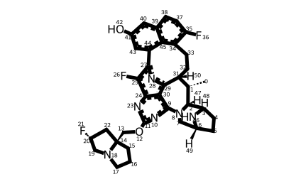 C[C@@H]1[C@H]2[C@@H]3CC[C@H](CN2c2nc(OC[C@@]45CCCN4C[C@H](F)C5)nc4c(F)c5nc(c24)[C@@H]1CCc1c(F)ccc2cc(O)cc-5c12)N3